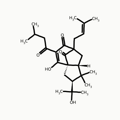 CC(C)=CCC12C[C@@H]3C(C)(C)[C@@H](C(C)(C)O)C[C@@]3(C1=O)C(O)=C(C(=O)CC(C)C)C2=O